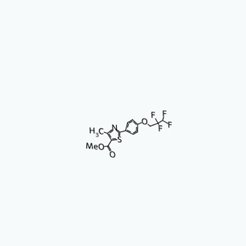 COC(=O)c1sc(-c2ccc(OCC(F)(F)C(F)F)cc2)nc1C